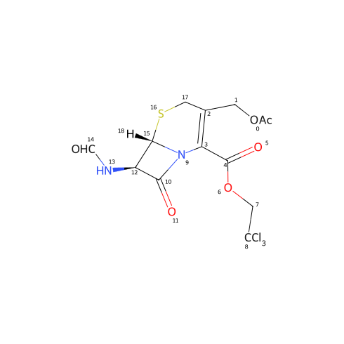 CC(=O)OCC1=C(C(=O)OCC(Cl)(Cl)Cl)N2C(=O)[C@@H](NC=O)[C@@H]2SC1